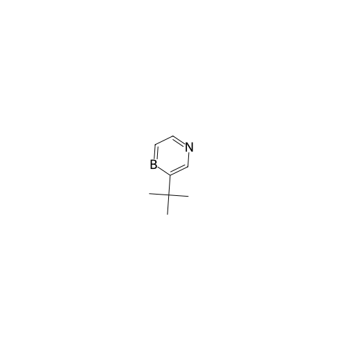 CC(C)(C)c1bccnc1